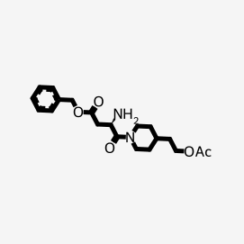 CC(=O)OCCC1CCN(C(=O)[C@@H](N)CC(=O)OCc2ccccc2)CC1